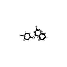 Cc1cc(OC2CCN(C)CC2)c2ccccc2n1